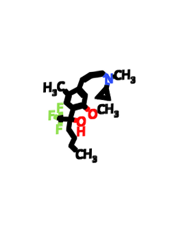 CCCCC(O)(c1cc(C)c(C=C=CN(C)C2CC2)cc1OC)C(F)(F)F